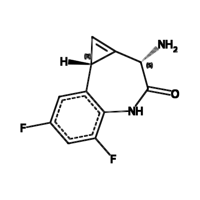 N[C@@H]1C(=O)Nc2c(F)cc(F)cc2[C@@H]2C=C12